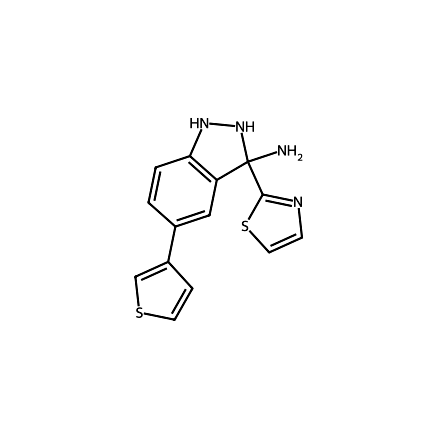 NC1(c2nccs2)NNc2ccc(-c3ccsc3)cc21